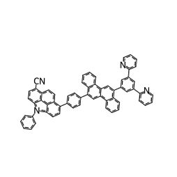 N#Cc1ccc2c3c1ccc1c(-c4ccc(-c5cc6c7ccccc7c(-c7cc(-c8ccccn8)cc(-c8ccccn8)c7)cc6c6ccccc56)cc4)ccc(c13)n2-c1ccccc1